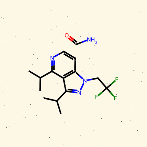 CC(C)c1nccc2c1c(C(C)C)nn2CC(F)(F)F.NC=O